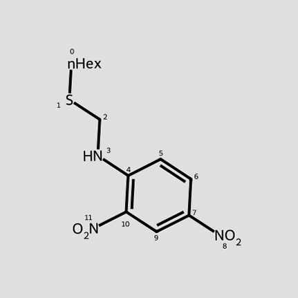 CCCCCCSCNc1ccc([N+](=O)[O-])cc1[N+](=O)[O-]